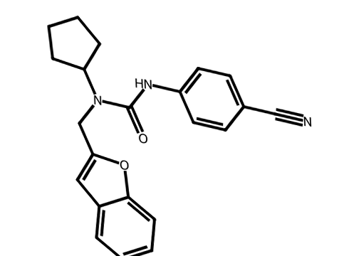 N#Cc1ccc(NC(=O)N(Cc2cc3ccccc3o2)C2CCCC2)cc1